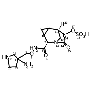 NC1(CONC(=O)[C@@H]2C3CC3[C@@H]3CN2C(=O)N3OS(=O)(=O)O)CCNC1